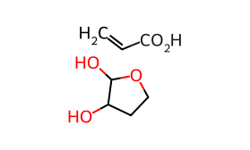 C=CC(=O)O.OC1CCOC1O